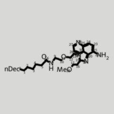 CCCCCCCCCCCCCCCC(=O)NCCOCCN1C(CCOC)N=C2C(N)=CC=C3N=CC=CC321